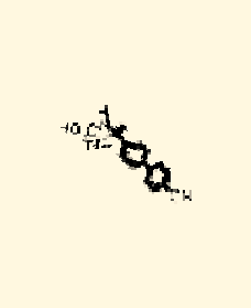 CC(C#N)(NC(=O)O)c1ccc(-c2ccc(C#N)cc2)cc1